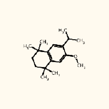 COc1cc2c(cc1C(C)C)C(C)(C)CCC2(C)C